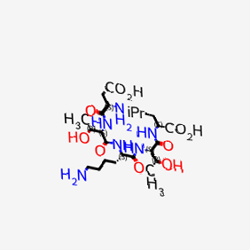 CC(C)C[C@H](NC(=O)[C@@H](NC(=O)[C@H](CCCCN)NC(=O)[C@@H](NC(=O)[C@@H](N)CC(=O)O)[C@@H](C)O)[C@@H](C)O)C(=O)O